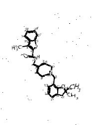 Cc1c(C(=O)NCC2CCN(Cc3cccc4c3OC(C)(C)C4)CC2)oc2ccccc12